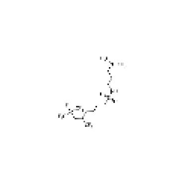 CN(C)CCCNS(=O)(=O)CCCCC(CC(F)(C(F)(F)F)C(F)(F)F)C(F)(F)F